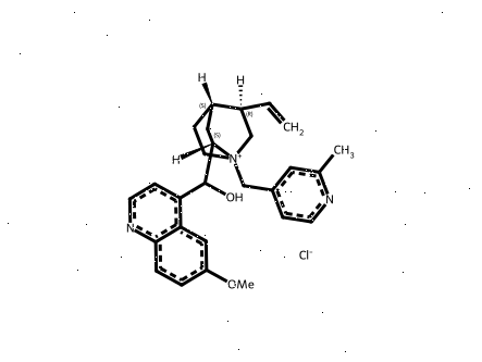 C=C[C@H]1C[N+]2(Cc3ccnc(C)c3)CC[C@H]1C[C@H]2C(O)c1ccnc2ccc(OC)cc12.[Cl-]